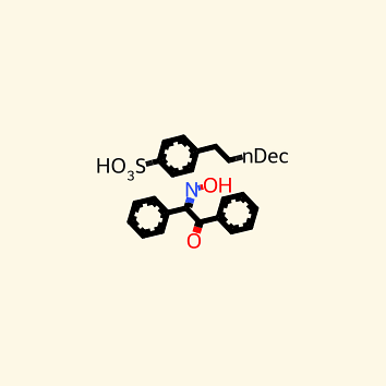 CCCCCCCCCCCCc1ccc(S(=O)(=O)O)cc1.O=C(C(=NO)c1ccccc1)c1ccccc1